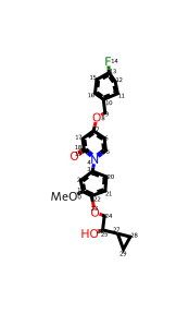 COc1cc(-n2ccc(OCc3ccc(F)cc3)cc2=O)ccc1OCC(O)C1CC1